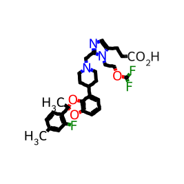 Cc1ccc(C2(C)Oc3cccc(C4CCN(Cc5ncc(CCC(=O)O)n5CCOC(F)F)CC4)c3O2)c(F)c1